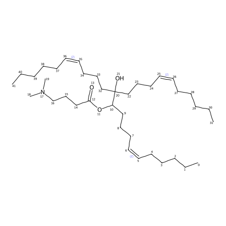 CCCCC/C=C\CCCC(OC(=O)CCCN(C)C)C(O)(CCC/C=C\CCCCC)CCC/C=C\CCCCC